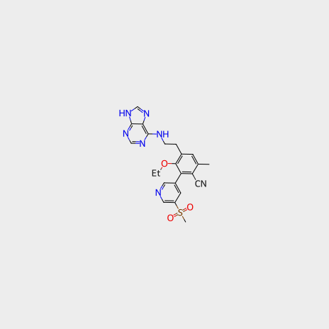 CCOc1c(CCNc2ncnc3[nH]cnc23)cc(C)c(C#N)c1-c1cncc(S(C)(=O)=O)c1